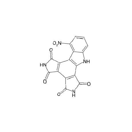 O=c1[nH]c(=O)c2c1c1[nH]c3cccc([N+](=O)[O-])c3c1c1c(=O)[nH]c(=O)c21